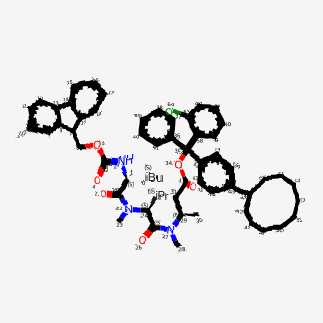 CC[C@H](C)[C@H](NC(=O)OCC1c2ccccc2-c2ccccc21)C(=O)N(C)[C@H](C(=O)N(C)[C@H](C)CC(=O)OC(c1ccccc1)(c1ccc(C2CCCCCCCCC2)cc1)c1ccccc1Cl)C(C)C